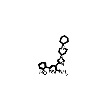 Nc1nnc(-c2ccccc2O)cc1-c1cn(C2CCN(C3CCCCC3)CC2)cn1